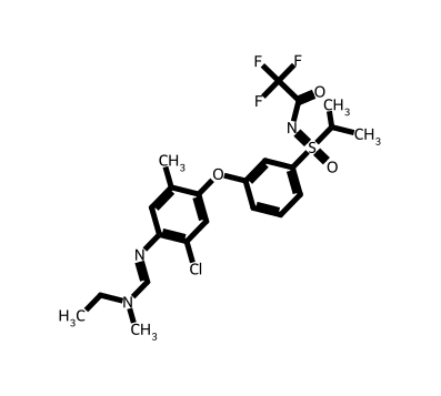 CCN(C)/C=N/c1cc(C)c(Oc2cccc(S(=O)(=NC(=O)C(F)(F)F)C(C)C)c2)cc1Cl